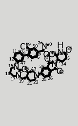 CN(C)C(=O)c1ccc(-c2cccc(N3CCCN(CC4CCN(c5ccc6c(c5)C(=O)N(C5CCC(=O)NC5=O)C6=O)CC4)C3=O)c2)c(Cl)c1